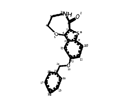 O=C1NCCOc2c1sc1ccc(OCc3ccccc3)cc21